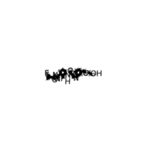 O=C(Nc1cccc(-c2noc([C@H]3C[C@@H]3F)n2)c1F)c1cnc2cc(COCCO)ccn12